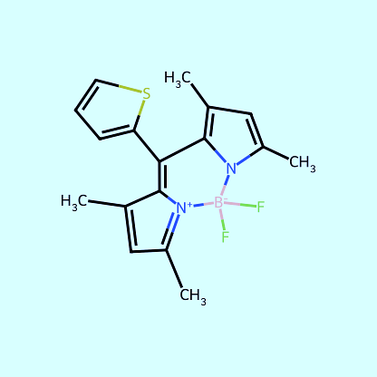 CC1=CC(C)=[N+]2C1=C(c1cccs1)c1c(C)cc(C)n1[B-]2(F)F